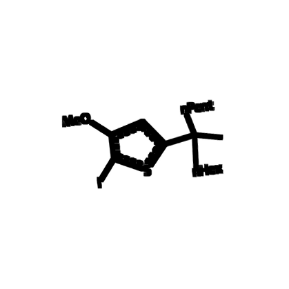 CCCCCCC(C)(CCCCC)c1cc(OC)c(I)s1